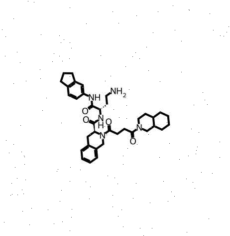 NCC[C@H](NC(=O)[C@@H]1Cc2ccccc2CN1C(=O)CCC(=O)N1CCC2CCCCC2C1)C(=O)Nc1ccc2c(c1)CCC2